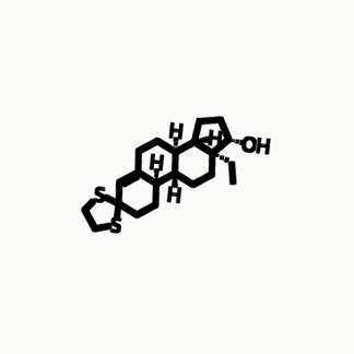 CC[C@]12CC[C@H]3[C@@H](CCC4=CC5(CC[C@@H]43)SCCS5)[C@@H]1CC[C@@H]2O